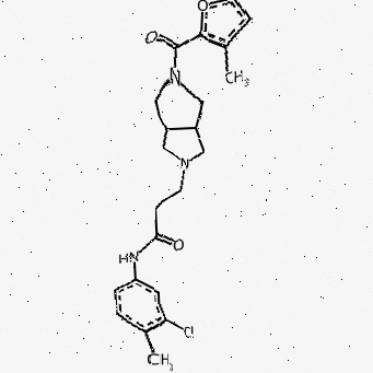 Cc1ccc(NC(=O)CCN2CC3CN(C(=O)c4occc4C)CC3C2)cc1Cl